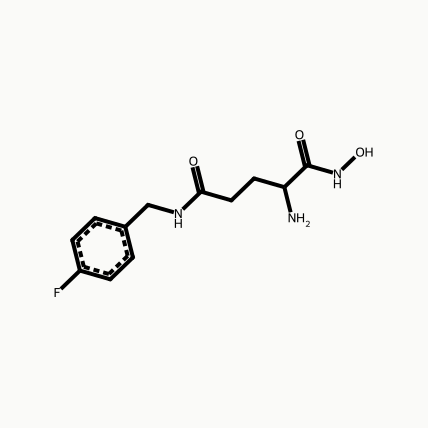 NC(CCC(=O)NCc1ccc(F)cc1)C(=O)NO